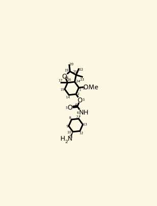 COC1C(OC(=O)N[C@H]2CC[C@H](N)CC2)CCC2(C)OC(C)C(C)(C)C12